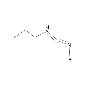 CCC[SH]=C=NBr